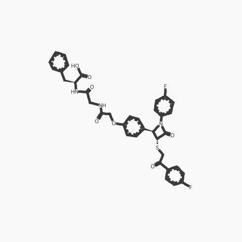 O=C(COc1ccc([C@@H]2[C@@H](SCC(=O)c3ccc(F)cc3)C(=O)N2c2ccc(F)cc2)cc1)NCC(=O)N[C@@H](Cc1ccccc1)C(=O)O